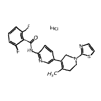 CC1=C(c2ccc(NC(=O)c3c(F)cccc3F)nc2)CN(c2nccs2)CC1.Cl